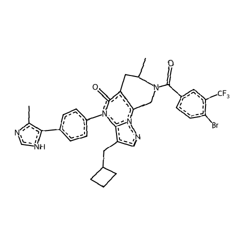 Cc1nc[nH]c1-c1ccc(-n2c(=O)c3c(n4ncc(CC5CCC5)c24)CN(C(=O)c2ccc(Br)c(C(F)(F)F)c2)C(C)C3)cc1